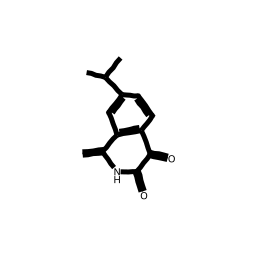 C=C1NC(=O)C(=O)c2ccc(C(C)C)cc21